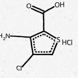 Cl.Nc1c(Cl)csc1C(=O)O